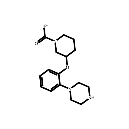 CC(C)C(=O)N1CCCC(Oc2ccccc2N2CCNCC2)C1